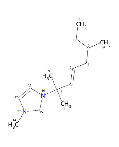 CCC(C)CC=CC(C)(C)N1C=CN(C)C1